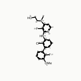 COc1cccc(-c2cccc(Nc3nccc(N(C)CCO)c3F)c2Cl)c1F